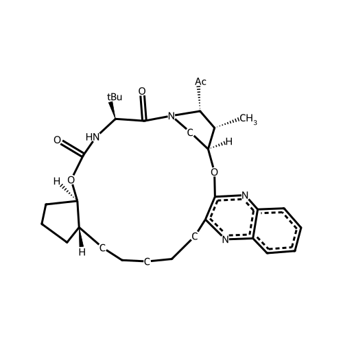 CC(=O)[C@@H]1[C@H](C)[C@@H]2CN1C(=O)[C@H](C(C)(C)C)NC(=O)O[C@@H]1CCC[C@H]1CCCCCc1nc3ccccc3nc1O2